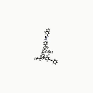 CCCc1ccc(/C=N/N=C/c2ccc(C(=O)OC(COCC(COC(C)OCC)OC(=O)c3ccc(C#Cc4ccccc4)cc3)COC(C)OCC)cc2)cc1